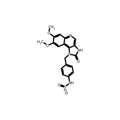 COc1cc2ncc3[nH]c(=O)n(Cc4ccc(N[SH](=O)=O)cc4)c3c2cc1OC